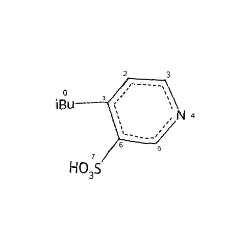 CCC(C)c1ccncc1S(=O)(=O)O